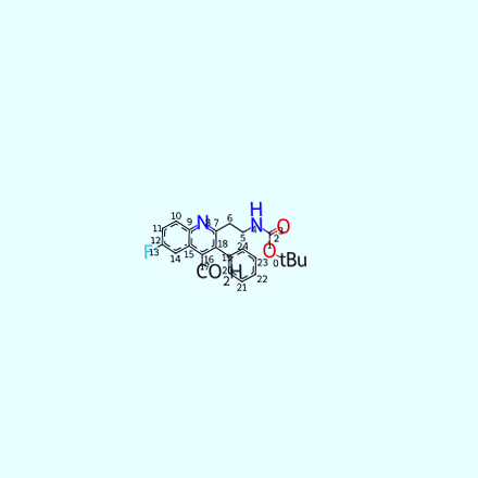 CC(C)(C)OC(=O)NCCc1nc2ccc(F)cc2c(C(=O)O)c1-c1ccccc1